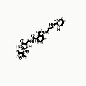 Cc1noc(C)c1S(=O)(=O)NC(CNC(=O)c1cccc2c1cnn2CCCNC1NC=CCN1)C(=O)O